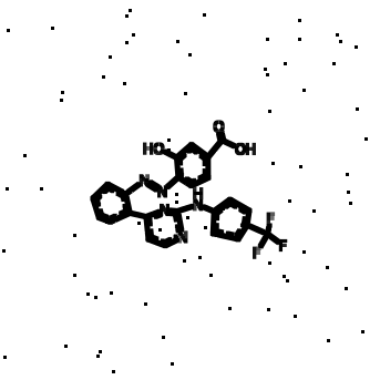 O=C(O)c1ccc(N=Nc2ccccc2-c2ccnc(Nc3ccc(C(F)(F)F)cc3)n2)c(O)c1